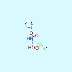 CSC[S+]([O-])C[C@H](CO)NC(=O)OCc1ccccc1